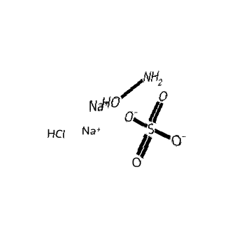 Cl.NO.O=S(=O)([O-])[O-].[Na+].[Na+]